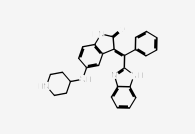 O=C1Nc2ccc(NC3CCNCC3)cc2C1=C(c1ccccc1)c1nc2ccccc2[nH]1